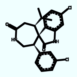 CC(C)[C@H]1CC(=O)NC[C@@H](c2cccc(Cl)c2)[C@]12C(=O)Nc1cc(Cl)ccc12